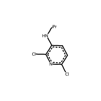 CC(C)Nc1ccc(Cl)nc1Cl